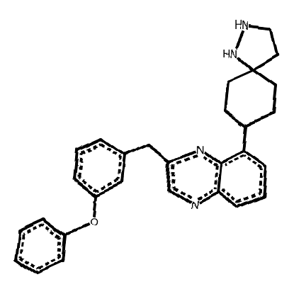 c1ccc(Oc2cccc(Cc3cnc4cccc(C5CCC6(CCNN6)CC5)c4n3)c2)cc1